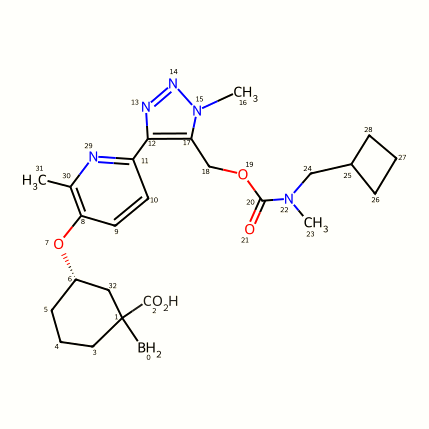 BC1(C(=O)O)CCC[C@H](Oc2ccc(-c3nnn(C)c3COC(=O)N(C)CC3CCC3)nc2C)C1